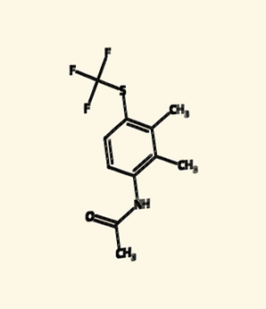 CC(=O)Nc1ccc(SC(F)(F)F)c(C)c1C